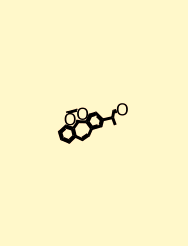 CC(C=O)c1ccc2c(c1)C=Cc1ccccc1C21OCCO1